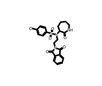 O=C1NCCCCC1N(CCN1C(=O)c2ccccc2C1=O)S(=O)(=O)c1ccc(Cl)cc1